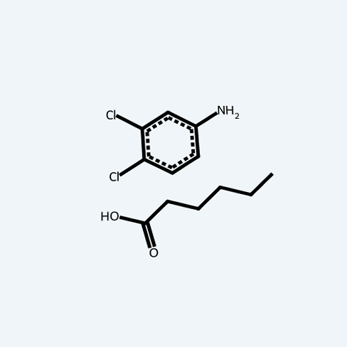 CCCCCC(=O)O.Nc1ccc(Cl)c(Cl)c1